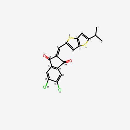 CC(C)c1cc2sc(C=C3C(=O)c4cc(Cl)c(Cl)cc4C3=O)cc2s1